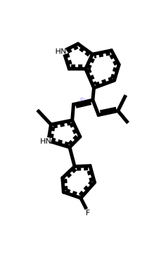 CC(C)=C/C(=C\c1cc(-c2ccc(F)cc2)[nH]c1C)c1cccc2c[nH]cc12